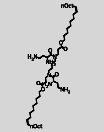 CCCCCCCC/C=C\CCCCCCCCOC(=O)CCN(CCCCN(CCC(=O)OCCCCCCCC/C=C\CCCCCCCC)C(=O)[C@@H](N)CCN)C(=O)[C@@H](N)CCN